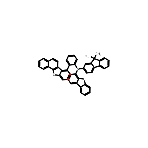 CC1(C)c2ccccc2-c2ccc(N(c3ccccc3-c3cccc4oc5c6ccccc6ccc5c34)c3cccc4c3oc3ccccc34)cc21